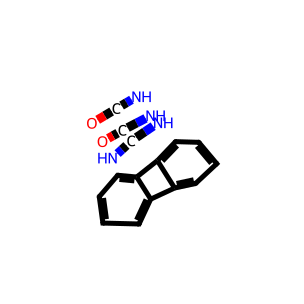 N=C=N.N=C=O.N=C=O.c1ccc2c(c1)-c1ccccc1-2